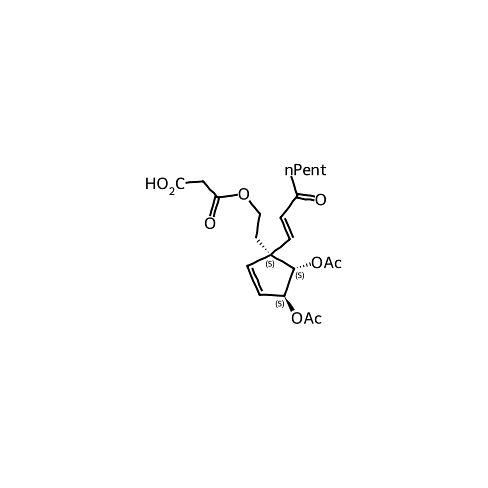 CCCCCC(=O)C=C[C@]1(CCOC(=O)CC(=O)O)C=C[C@H](OC(C)=O)[C@H]1OC(C)=O